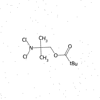 CC(C)(C)C(=O)OCC(C)(C)N(Cl)Cl